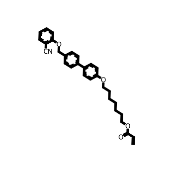 C=CC(=O)OCCCCCCCOc1ccc(-c2ccc(COc3ccccc3C#N)cc2)cc1